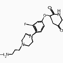 NCCCN1CCN(c2ccc(OC3CC(=O)CNC3=O)cc2F)CC1